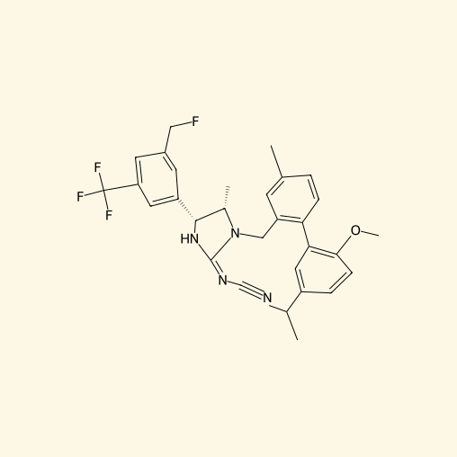 COc1ccc(C(C)C)cc1-c1ccc(C)cc1CN1/C(=N\C#N)N[C@H](c2cc(CF)cc(C(F)(F)F)c2)[C@@H]1C